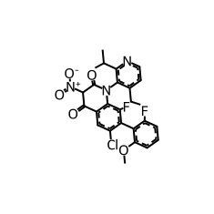 CCc1ccnc(C(C)C)c1N1C(=O)C([N+](=O)[O-])C(=O)c2cc(Cl)c(-c3c(F)cccc3OC)c(F)c21